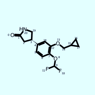 O=C1C[C@@H](c2ccc(OC(F)F)c(OCC3CC3)c2)CN1